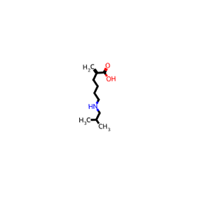 C=C(CCCCNCC(C)C)C(=O)O